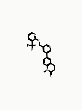 CN1C(=O)CCc2cc(-c3cncc(CSc4ncccc4C(F)(F)F)c3)ccc21